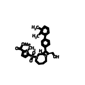 COC(=O)c1ccc(S(=O)(=O)N2CCCCN3[C@H](CO)C(c4ccc(-c5cccc(C)c5C)cc4)[C@@H]3C2)n1C